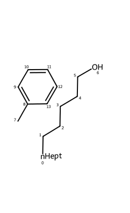 CCCCCCCCCCCCO.Cc1ccccc1